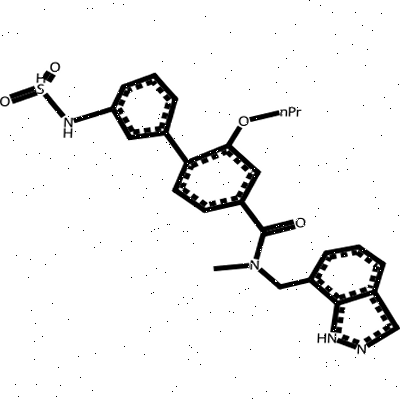 CCCOc1cc(C(=O)N(C)Cc2cccc3cn[nH]c23)ccc1-c1cccc(N[SH](=O)=O)c1